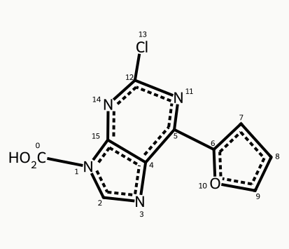 O=C(O)n1cnc2c(-c3ccco3)nc(Cl)nc21